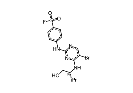 CC(C)[C@H](CO)Nc1nc(Nc2ccc(S(=O)(=O)F)cc2)ncc1Br